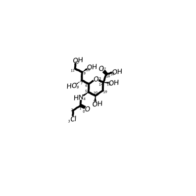 O=C(CCl)N[C@H]1C([C@H](O)[C@H](O)CO)O[C@](O)(C(=O)O)C[C@H]1O